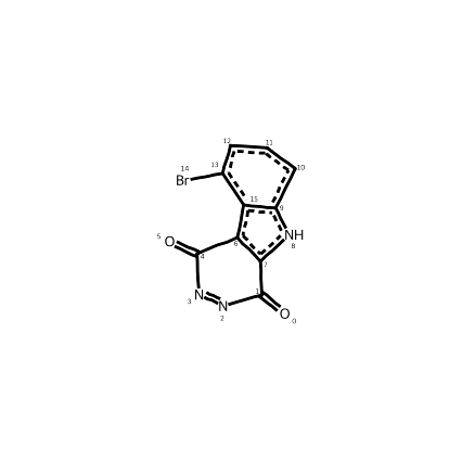 O=C1N=NC(=O)c2c1[nH]c1cccc(Br)c21